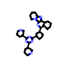 c1cncc(-c2nc(-c3cccnc3)nc(-c3cccc(-c4nc5c(nc6ccccn65)c5ccccc45)c3)n2)c1